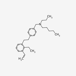 C=Cc1cccc(CCc2ccc(CN(CCC)CCCCC)cc2)c1CC